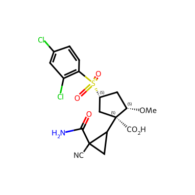 CO[C@H]1C[C@@H](S(=O)(=O)c2ccc(Cl)cc2Cl)C[C@]1(C(=O)O)C1CC1(C#N)C(N)=O